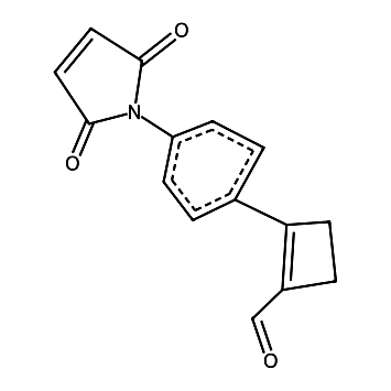 O=CC1=C(c2ccc(N3C(=O)C=CC3=O)cc2)CC1